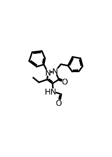 CCc1c(NC=O)c(=O)n(Cc2ccccc2)n1-c1ccccc1